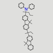 CCCC(C)(c1ccc2c(c1)C(C)(C)c1cc(C(C)(CC)c3ccc4c(c3)C(C)(C)c3ccccc3-4)ccc1-2)N(c1ccccc1)c1ccccc1